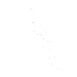 CCCc1ccc(CCC(=O)Nc2ccc3nc(N4CCC(N(C)C)CC4)cc(C)c3c2)cc1